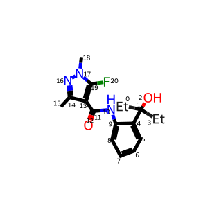 CCC(O)(CC)c1ccccc1NC(=O)c1c(C)nn(C)c1F